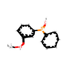 COc1cccc([PH](=O)c2ccccc2)c1